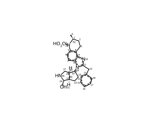 C[C@H]1CCc2c(ccc3c2nc(Cc2ccccc2)n3[C@H]2CC[C@H]3C(O)NC[C@H]32)N1C(=O)O